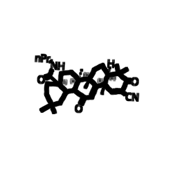 CCCNC(=O)[C@]12CCC(C)(C)CC1C1C(=O)C=C3[C@@]4(C)C=C(C#N)C(=O)C(C)(C)[C@@H]4CC[C@@]3(C)[C@]1(C)CC2